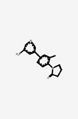 Bc1cncc(-c2ccc(N3CCCC3=O)c(C)c2)c1